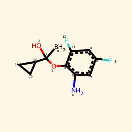 BC(O)(Oc1c(N)cc(F)cc1F)C1CC1